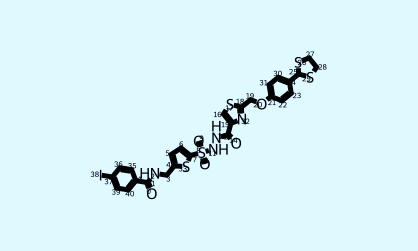 O=C(NCc1ccc(S(=O)(=O)NNC(=O)c2csc(COc3ccc(C4SCCS4)cc3)n2)s1)c1ccc(I)cc1